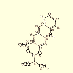 CCCCC(C)C(=O)Oc1cc2nc3ccccc3cc2cc1C=O